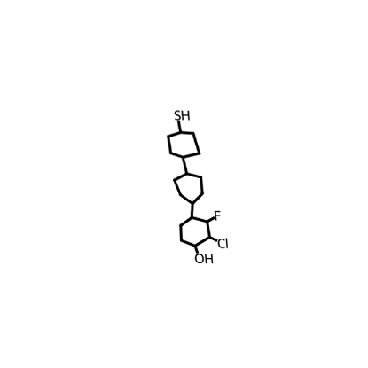 OC1CCC(C2CCC(C3CCC(S)CC3)CC2)C(F)C1Cl